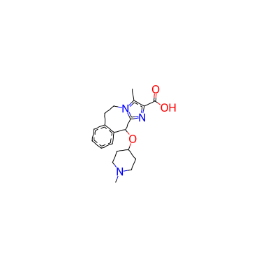 Cc1c(C(=O)O)nc2n1CCc1ccccc1C2OC1CCN(C)CC1